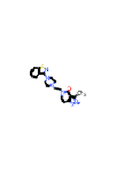 Cn1nc2c(c1C(F)(F)F)C(=O)N(CCN1CCN(C3=NSC4C=CC=CC34)CC1)CC2